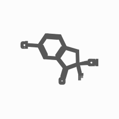 N#C[C@]1(F)Cc2ccc(Cl)cc2C1=O